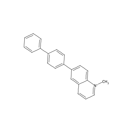 C[n+]1cccc2cc(-c3ccc(-c4ccccc4)cc3)ccc21